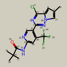 Cc1cc2c(Cl)nc(-c3cnc(NC(=O)C(C)(C)C)cc3C(F)(F)F)nn2c1